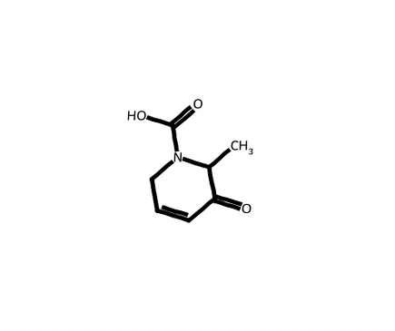 CC1C(=O)C=CCN1C(=O)O